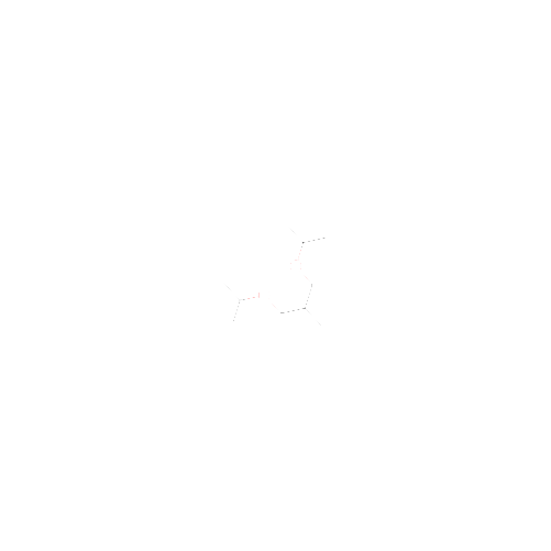 CC(COC(C)C)COC(C)C